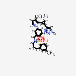 C[C@H]1Cc2cc(C(F)(F)F)ccc2S(O)(O)N(Cc2cccc(-n3ccc(C(=O)O)c3C3CC3c3cn(C)nn3)c2)C1